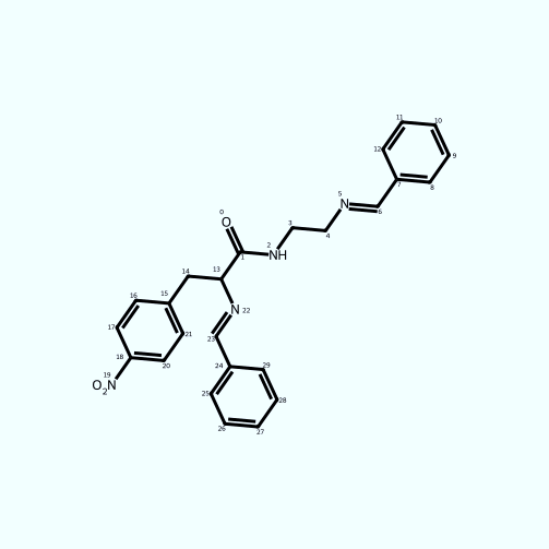 O=C(NCCN=Cc1ccccc1)C(Cc1ccc([N+](=O)[O-])cc1)N=Cc1ccccc1